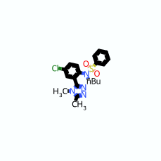 CCCCN(c1ccc(Cl)cc1-c1nnc(C)n1C)S(=O)(=O)c1ccccc1